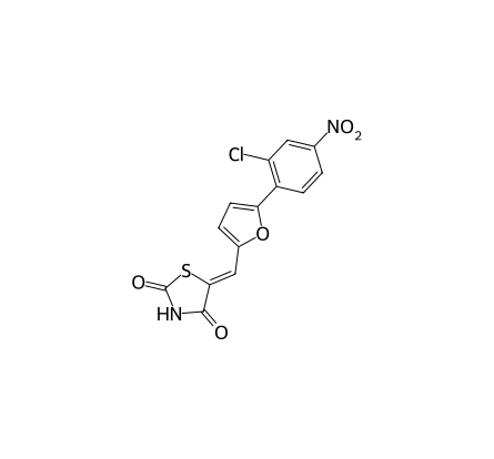 O=C1NC(=O)C(=Cc2ccc(-c3ccc([N+](=O)[O-])cc3Cl)o2)S1